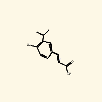 CC(C)c1cc(/C=C/C(=O)O)ccc1O